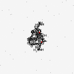 CC[C@H](C)[C@H](NC(=O)[C@H](CCCNC(=N)N)NC(=O)CNC(=O)CNC(=O)[C@H](C)NC(=O)[C@H](CS)NC(=O)[C@@H](N)CCCN)C(=O)N[C@@H](CC(=O)O)C(=O)N[C@@H](CCCNC(=N)N)C(=O)N[C@H](C(=O)N[C@@H](Cc1ccccc1)C(=O)N(C1CCCCC1)[C@H]([C]=O)CCCNC(=N)N)[C@@H](C)CC